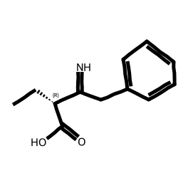 CC[C@H](C(=N)Cc1ccccc1)C(=O)O